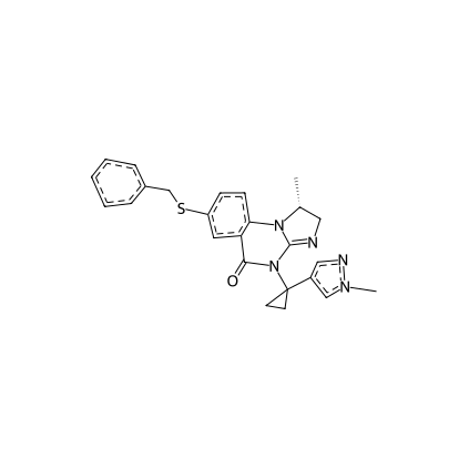 C[C@@H]1CN=C2N1c1ccc(SCc3ccccc3)cc1C(=O)N2C1(c2cnn(C)c2)CC1